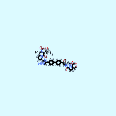 CC(=O)N1C(C(=O)NCC(=O)c2ccc(-c3ccc(-c4c[nH]c([C@@H]5CCCN5C(=O)[C@H](C(C)C)N(C)C(=O)O)n4)cc3)cc2)CCC12CCOCC2